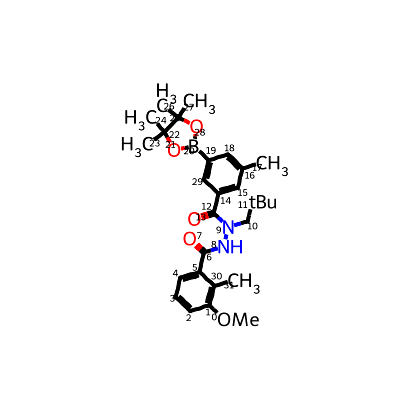 COc1cccc(C(=O)NN(CC(C)(C)C)C(=O)c2cc(C)cc(B3OC(C)(C)C(C)(C)O3)c2)c1C